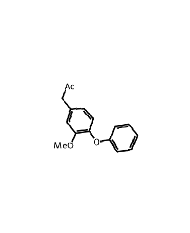 COc1cc(CC(C)=O)ccc1Oc1ccccc1